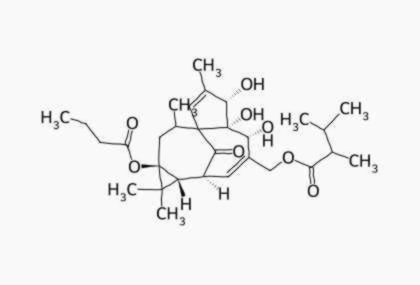 CCCC(=O)O[C@@]12CC(C)C34C=C(C)[C@H](O)[C@@]3(O)[C@H](O)C(COC(=O)C(C)C(C)C)=C[C@H](C4=O)[C@@H]1C2(C)C